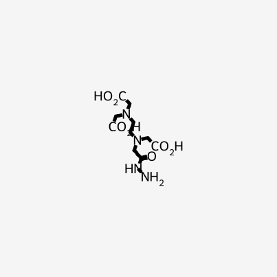 NNC(=O)CN(CCN(CC(=O)O)CC(=O)O)CC(=O)O